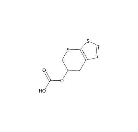 O=C(O)OC1CSc2sccc2C1